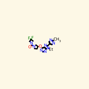 CCn1c(-c2cnc(C)nc2)nc2c(O[C@H]3CCN(C(=O)N4CC(F)(F)C4)C3)ncnc21